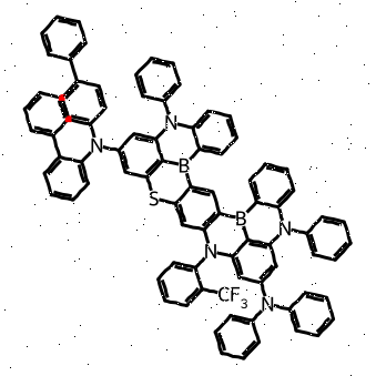 FC(F)(F)c1ccccc1N1c2cc3c(cc2B2c4ccccc4N(c4ccccc4)c4cc(N(c5ccccc5)c5ccccc5)cc1c42)B1c2ccccc2N(c2ccccc2)c2cc(N(c4ccc(-c5ccccc5)cc4)c4ccccc4-c4ccccc4)cc(c21)S3